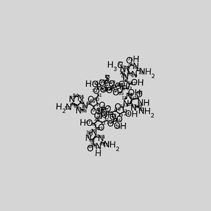 COC1C(OP(O)(=S)OCC2OC(n3cnc4c(=O)[nH]c(N)nc43)C(O)C2OP(=O)(O)OCC2OC(n3cnc4c(=O)[nH]c(N)nc43)C(O)C2O)C(COP(=O)(O)OP(=S)([S-])OP(=O)(O)OCC2OC(n3c[n+](C)c4c(=O)[nH]c(N)nc43)C(O)C2O)OC1n1cnc2c(N)ncnc21